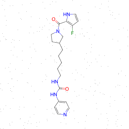 O=C(NCCCCCC1CCN(C(=O)c2[nH]ccc2F)C1)Nc1ccncc1